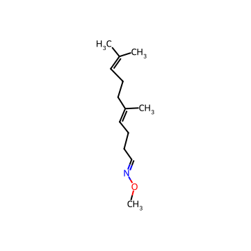 CO/N=C/CC/C=C(\C)CCC=C(C)C